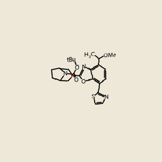 COC(C)c1ccc(-c2nccs2)c2oc(N3CC4CCC(C3)N4C(=O)OC(C)(C)C)nc12